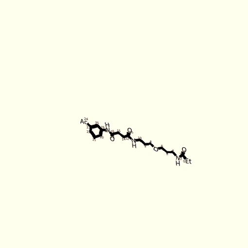 CCC(=O)NCCCOCCCNC(=O)CCC(=O)Nc1cccc(C(C)=O)c1